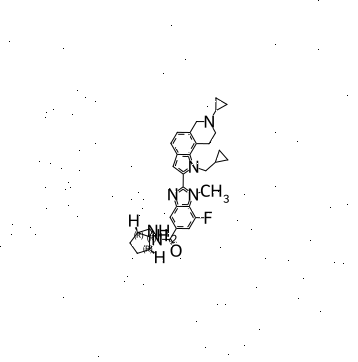 Cn1c(-c2cc3ccc4c(c3n2CC2CC2)CCN(C2CC2)C4)nc2cc(C(=O)N3C[C@H]4CC[C@@H]3[C@@H]4N)cc(F)c21